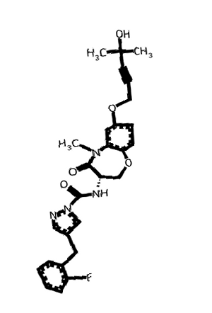 CN1C(=O)[C@@H](NC(=O)n2cc(Cc3ccccc3F)cn2)COc2ccc(OCC#CC(C)(C)O)cc21